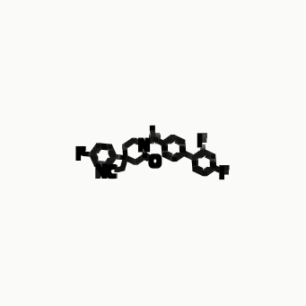 C[C@@H](c1ccc(-c2ccc(F)cc2F)cc1)N1CCC(CC#N)(c2ccc(F)cc2)CC1=O